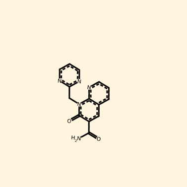 NC(=O)c1cc2cccnc2n(Cc2ncccn2)c1=O